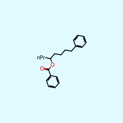 CCCC(CCCCc1ccccc1)OC(=O)c1ccccc1